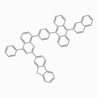 c1ccc(-c2cc(-c3ccc4c(c3)oc3ccccc34)nc3c(-c4ccc(-c5c6ccccc6c(-c6ccc7ccccc7c6)c6ccccc56)cc4)cccc23)cc1